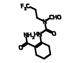 NC(=O)C1=C(NC(=O)N(C=O)CCC(F)(F)F)CCCC1